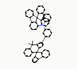 CC1(C)c2ccccc2C2(c3ccccc3-c3ccccc32)c2ccc(-c3cccc(N(c4ccccc4)c4cccc5c4C4(c6ccccc6-c6ccccc64)c4ccccc4-5)c3)cc21